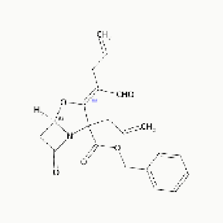 C=CC/C(C=O)=C1\O[C@@H]2CC(=O)N2C1(CC=C)C(=O)OCc1ccccc1